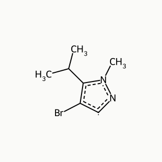 CC(C)c1c(Br)[c]nn1C